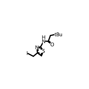 CC(C)(C)CC(=O)Nc1nc(CI)cs1